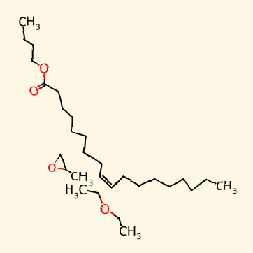 CC1CO1.CCCCCCCC/C=C\CCCCCCCC(=O)OCCCC.CCOCC